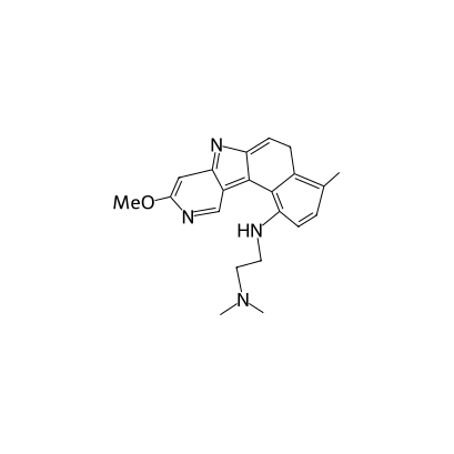 COc1cc2c(cn1)=C1C(=CCc3c(C)ccc(NCCN(C)C)c31)N=2